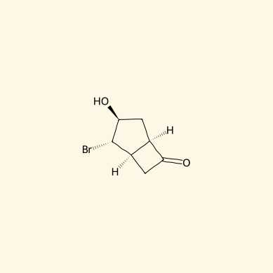 O=C1C[C@H]2[C@H](Br)[C@@H](O)C[C@@H]12